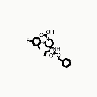 C=CC[C@]1(NC(=O)OCc2ccccc2)CCN(C(=O)O)[C@@H](c2ccc(F)cc2C)C1